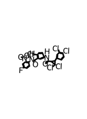 O=C(Nc1ccc(F)cc1[N+](=O)[O-])c1cc(NC(=O)C2C(c3ccc(Cl)c(Cl)c3)C2(Cl)Cl)ccc1Cl